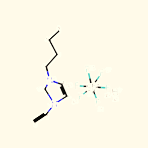 C=CN1C=CN(CCCC)C1.[F][Sb-]([F])([F])([F])([F])[F].[H+]